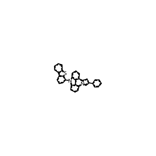 c1ccc(-c2cc3c4cccc5c4c4c(cccc4n3c2)n5-c2cccc3c2sc2ccccc23)cc1